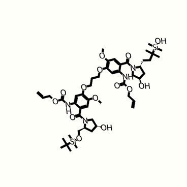 C=CCOC(=O)Nc1cc(OCCCOc2cc(NC(=O)OCC=C)c(C(=O)N3C[C@H](O)C[C@H]3CO[Si](C)(C)C(C)(C)C)cc2OC)c(OC)cc1C(=O)N1C[C@H](O)C[C@H]1CCC(C)(C)[Si](C)(C)O